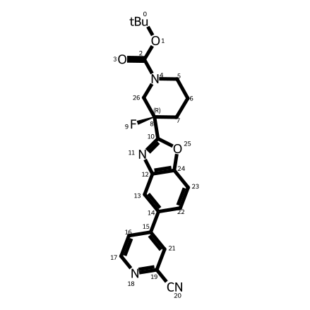 CC(C)(C)OC(=O)N1CCC[C@](F)(c2nc3cc(-c4ccnc(C#N)c4)ccc3o2)C1